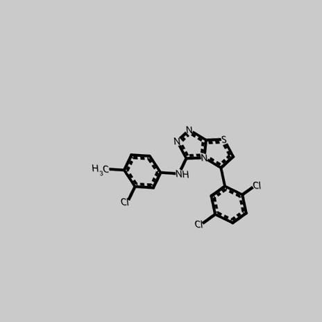 Cc1ccc(Nc2nnc3scc(-c4cc(Cl)ccc4Cl)n23)cc1Cl